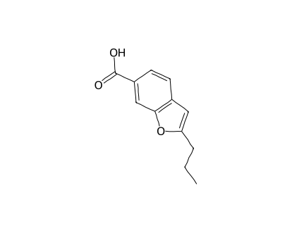 CCCc1cc2ccc(C(=O)O)cc2o1